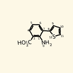 Nc1c(C(=O)O)cccc1-c1cccs1